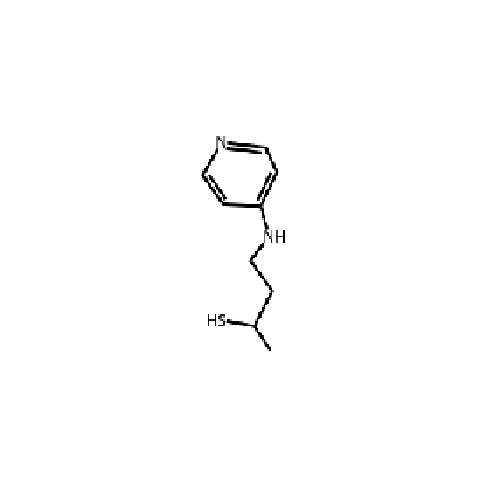 CC(S)CCNc1ccncc1